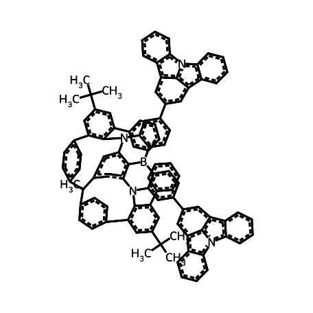 CC(C)(C)c1cc(-c2ccccc2)c2c(c1)-c1ccc(cc1)C1(C)c3ccc(cc3)-c3cc(C(C)(C)C)cc(-c4ccccc4)c3N3c4cc(-c5cc6c7ccccc7n7c8ccccc8c(c5)c67)ccc4B4c5ccc(-c6cc7c8ccccc8n8c9ccccc9c(c6)c78)cc5N2c2cc1cc3c24